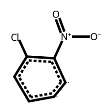 O=[N+]([O-])c1[c][c]ccc1Cl